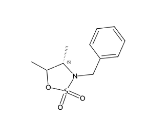 CC1OS(=O)(=O)N(Cc2ccccc2)[C@H]1C